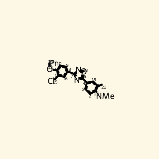 CNc1ccc(-c2nc(-c3ccc(OC(C)C)c(Cl)c3)no2)cc1C